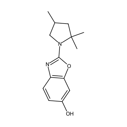 CC1CN(c2nc3ccc(O)cc3o2)C(C)(C)C1